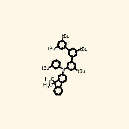 CC(C)(C)c1cc(-c2cc(N(c3cccc(C(C)(C)C)c3)c3ccc4c(c3)C(C)(C)c3ccccc3-4)cc(C(C)(C)C)c2)cc(-c2cc(C(C)(C)C)cc(C(C)(C)C)c2)c1